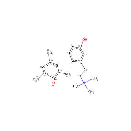 C[N+](C)(C)CCc1cccc(O)c1.O=[N+]([O-])c1cc([N+](=O)[O-])c([O-])c([N+](=O)[O-])c1